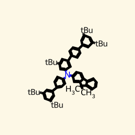 CC(C)(C)c1cc(-c2ccc(-c3cc(C(C)(C)C)cc(C(C)(C)C)c3)cc2)cc(N(c2ccc(-c3cc(C(C)(C)C)cc(C(C)(C)C)c3)cc2)c2ccc3c(c2)C(C)(C)c2ccccc2-3)c1